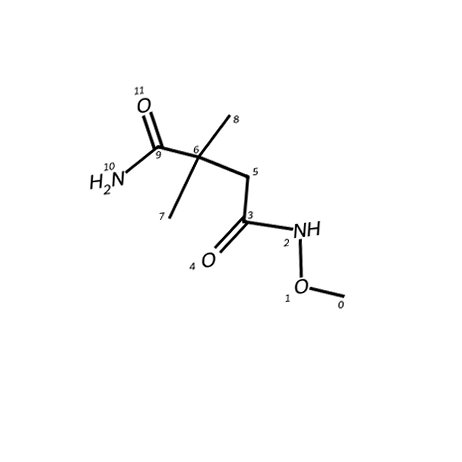 CONC(=O)CC(C)(C)C(N)=O